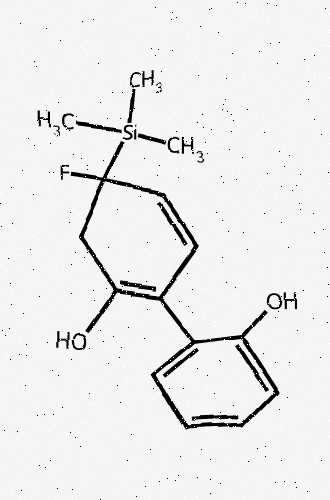 C[Si](C)(C)C1(F)C=CC(c2ccccc2O)=C(O)C1